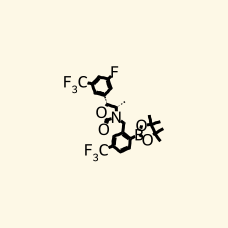 C[C@H]1[C@@H](c2cc(F)cc(C(F)(F)F)c2)OC(=O)N1Cc1cc(C(F)(F)F)ccc1B1OC(C)(C)C(C)(C)O1